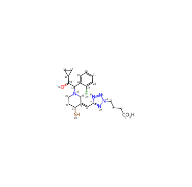 O=C(O)CCCn1nnc(/C=C2\CN(C(C(=O)C3CC3)c3ccccc3F)CCC2S)n1